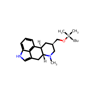 CN1C[C@H](CO[Si](C)(C)C(C)(C)C)C[C@@H]2c3cccc4[nH]cc(c34)C[C@H]21